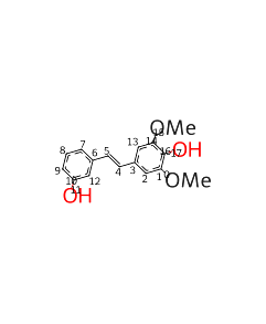 COc1cc(C=Cc2cccc(O)c2)cc(OC)c1O